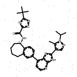 Cc1c(-c2nc3c(-c4ccc5c(c4)CCCC[C@H]5NC(=O)c4nc(C(C)(C)C)no4)ccnc3[nH]2)cnn1C(C)C